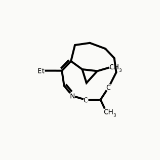 CCC1=C(/C2CC2C)CCCCCCC(C)C/N=C\1